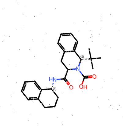 CC(C)(C)[C@H]1c2ccccc2CC(C(=O)N[C@@H]2CCCc3ccccc32)N1C(=O)O